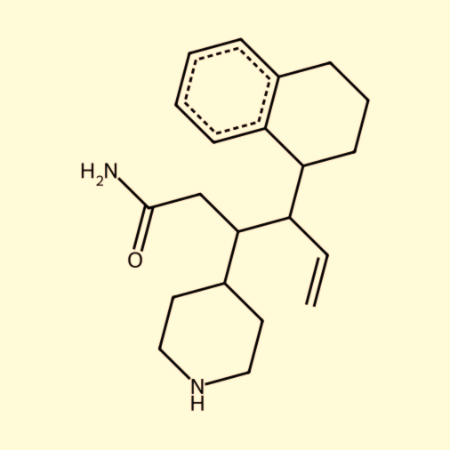 C=CC(C1CCCc2ccccc21)C(CC(N)=O)C1CCNCC1